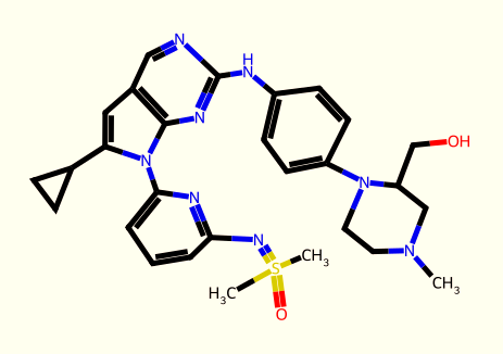 CN1CCN(c2ccc(Nc3ncc4cc(C5CC5)n(-c5cccc(N=S(C)(C)=O)n5)c4n3)cc2)C(CO)C1